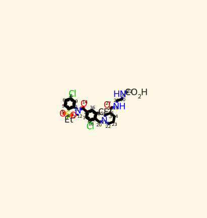 CCS(=O)(=O)c1ccc(Cl)cc1N(C)C(=O)c1cc(Cl)c(CN2CCC[C@H](C(=O)NCCNC(=O)O)C2)c(C(F)(F)F)c1